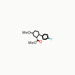 COC(=O)[C@H]1CC(OC)CCC1c1ccc(F)cc1